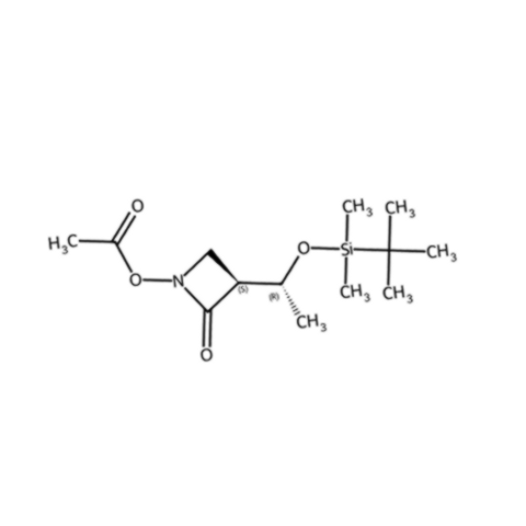 CC(=O)ON1C[C@@H]([C@@H](C)O[Si](C)(C)C(C)(C)C)C1=O